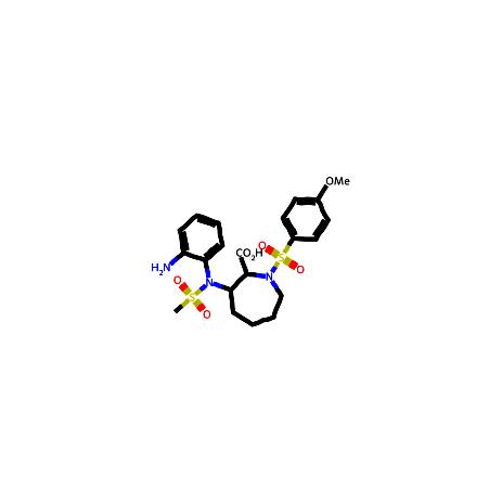 COc1ccc(S(=O)(=O)N2CCCCC(N(c3ccccc3N)S(C)(=O)=O)C2C(=O)O)cc1